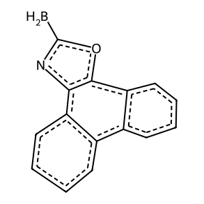 Bc1nc2c3ccccc3c3ccccc3c2o1